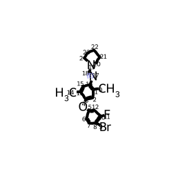 Cc1cc(Oc2ccc(Br)c(F)c2)c(C)cc1/N=C/N1CCCCC1